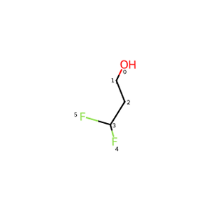 O[CH]CC(F)F